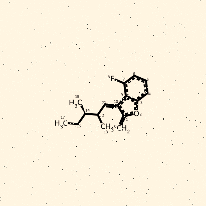 C=c1oc2cccc(F)c2/c1=C/C(C)[C@H](C)CC